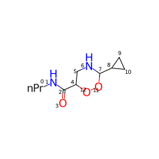 CCCNC(=O)C1CNC(C2CC2)OO1